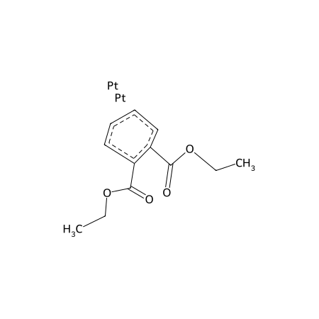 CCOC(=O)c1ccccc1C(=O)OCC.[Pt].[Pt]